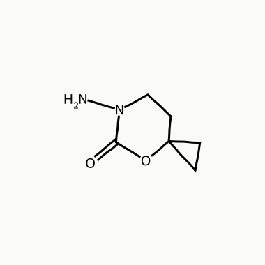 NN1CCC2(CC2)OC1=O